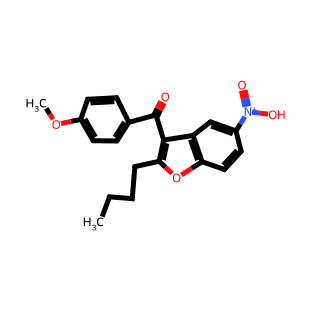 CCCCc1oc2ccc([N+](=O)O)cc2c1C(=O)c1ccc(OC)cc1